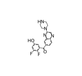 O=C(c1ccc2ncc(N3CCNCC3)nc2c1)c1cc(O)cc(F)c1F